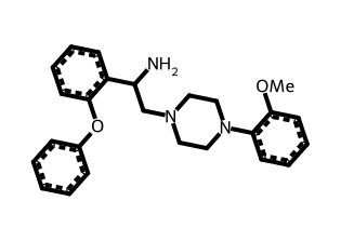 COc1ccccc1N1CCN(CC(N)c2ccccc2Oc2ccccc2)CC1